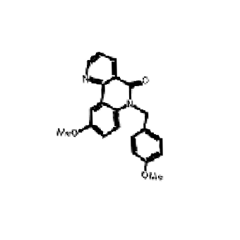 COc1ccc(Cn2c(=O)c3cccnc3c3cc(OC)ccc32)cc1